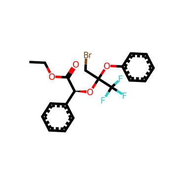 CCOC(=O)[C@@H](OC(CBr)(Oc1ccccc1)C(F)(F)F)c1ccccc1